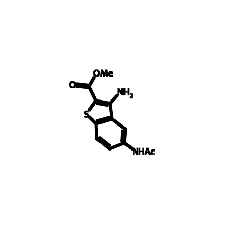 COC(=O)c1sc2ccc(NC(C)=O)cc2c1N